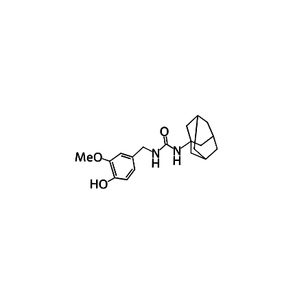 COc1cc(CNC(=O)NC23CC4CC(CC(C4)C2)C3)ccc1O